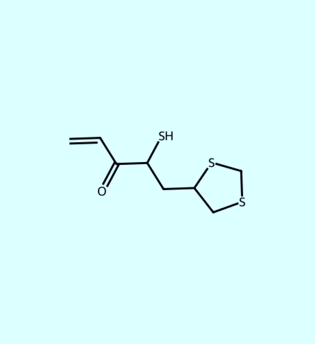 C=CC(=O)C(S)CC1CSCS1